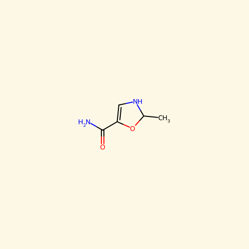 CC1NC=C(C(N)=O)O1